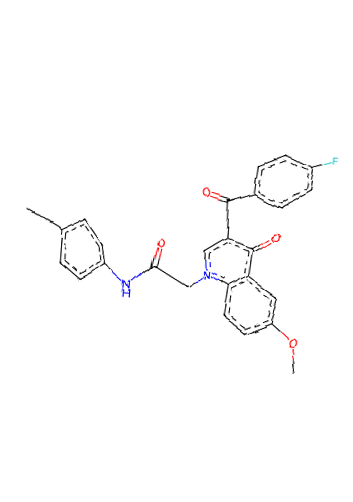 COc1ccc2c(c1)c(=O)c(C(=O)c1ccc(F)cc1)cn2CC(=O)Nc1ccc(C)cc1